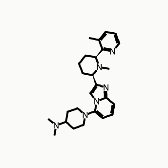 Cc1cccnc1[C@@H]1CCC[C@H](c2cn3c(N4CCC(N(C)C)CC4)cccc3n2)N1C